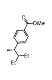 CCC(CC)[C@@H](C)c1ccc(C(=O)OC)cc1